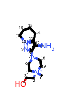 C[N+]1(CCO)CCN(c2nn3c(c2N)CCCC3)CC1